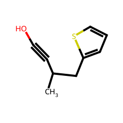 CC(C#CO)Cc1cccs1